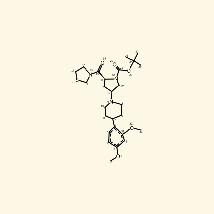 COc1ccc(C2CCN([C@H]3C[C@@H](C(=O)N4CCSC4)N(C(=O)OC(C)(C)C)C3)CC2)c(OC)c1